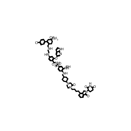 CC1(C)CCC(CNCCNc2ccc(C(=O)NS(=O)(=O)c3ccc(NCC4CCC(N5CCN(CCCCc6cccc7c6CN(C6CCC(=O)NC6=O)C7=O)C(=O)C5)CC4)c(NO)c3)c(Oc3cnc4[nH]ccc4c3)c2)=C(c2ccc(Cl)cc2)C1